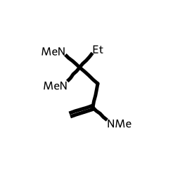 C=C(CC(CC)(NC)NC)NC